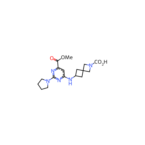 COC(=O)c1cc(NC2CC3(C2)CN(C(=O)O)C3)nc(N2CCCC2)n1